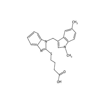 Cc1ccc2c(c1)c(Cn1c(SCCCC(=O)O)nc3ccccc31)cn2C